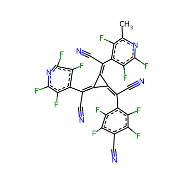 Cc1nc(F)c(F)c(/C(C#N)=C2/C(=C(C#N)c3c(F)c(F)nc(F)c3F)/C2=C(/C#N)c2c(F)c(F)c(C#N)c(F)c2F)c1F